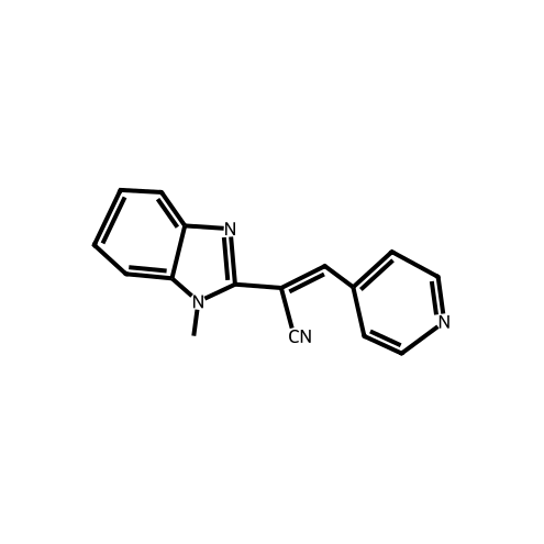 Cn1c(C(C#N)=Cc2ccncc2)nc2ccccc21